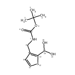 CC(C)(C)OC(=O)NCc1ccsc1B(O)O